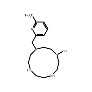 O=C(O)c1cccc(CN2CCNCCNCCN(S)CC2)n1